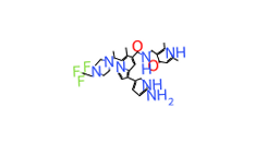 Cc1cc(=O)c(CNC(=O)c2cc3c(C4=CC=C(N)NC4)ccn3c(C(C)N3CCN(CC(F)(F)F)CC3)c2C)c(C)[nH]1